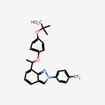 CC(Oc1ccc(OC(C)(C)C(=O)O)cc1)c1cccc2cn(-c3ccc(C(F)(F)F)cc3)nc12